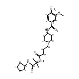 COc1cc(C(=O)NC2CCN(CCCC(=O)NC(C)(C)C(=O)OC3CCCC3)CC2)ccc1N